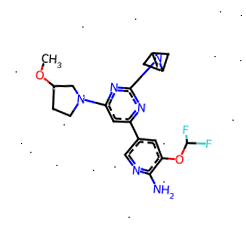 COC1CCN(c2cc(-c3cnc(N)c(OC(F)F)c3)nc(N3CC4CC3C4)n2)C1